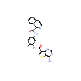 Cc1ccc(NC(=O)c2nccc3ccccc23)cc1NC(=O)c1csc2c(N)ncnc12